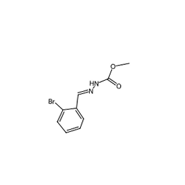 COC(=O)N/N=C/c1ccccc1Br